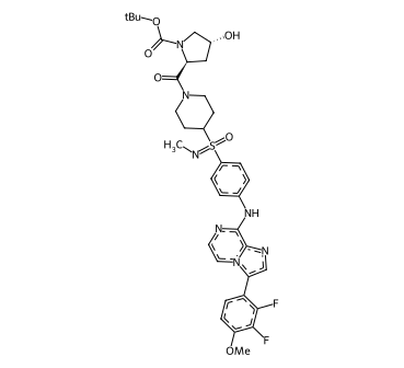 CN=S(=O)(c1ccc(Nc2nccn3c(-c4ccc(OC)c(F)c4F)cnc23)cc1)C1CCN(C(=O)[C@@H]2C[C@@H](O)CN2C(=O)OC(C)(C)C)CC1